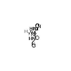 Cn1nc(C(=O)NCCN2CCCC2)cc1-c1cc2ncccc2[nH]1